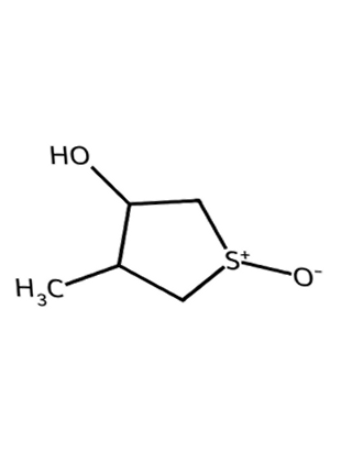 CC1C[S+]([O-])CC1O